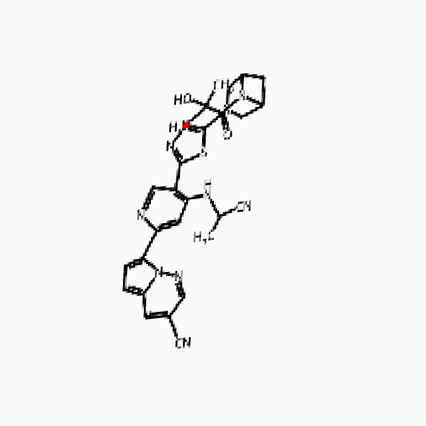 CC(C#N)Nc1cc(-c2ccc3cc(C#N)cnn23)ncc1-c1nnc(N2CC3CC(C2)N3C(=O)C(C)(C)O)s1